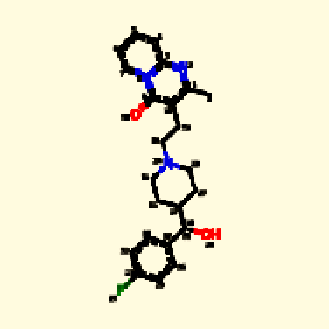 Cc1nc2ccccn2c(=O)c1CCN1CCC([C@@H](O)c2ccc(F)cc2)CC1